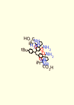 CC(C)[C@H](NC(=O)O)C(=O)N1CCC[C@@]1(C(N)=O)c1ccc(CC(c2ccc(C(C)(C)C)cc2)c2ccc([C@]3(C(N)=O)CCCN3C(=O)[C@@H](NC(=O)O)C(C)C)c(N)c2)cc1N